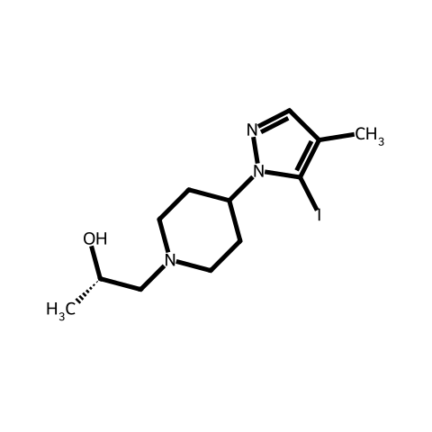 Cc1cnn(C2CCN(C[C@H](C)O)CC2)c1I